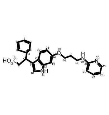 O=C(O)CC(c1ccccc1)c1c[nH]c2cc(OCCCNc3ccccn3)ccc12